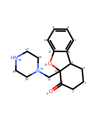 O=C1CCCC2c3ccccc3OC12CN1CCNCC1